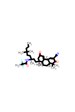 CCCC(C)(C)CC[C@@](C)(CC[C@]1(C)CC(=O)C=C2[C@@]3(C)C=C(C#N)C(=O)C(C)(C)[C@@H]3CC[C@]21C)NC(=O)C(C)(F)F